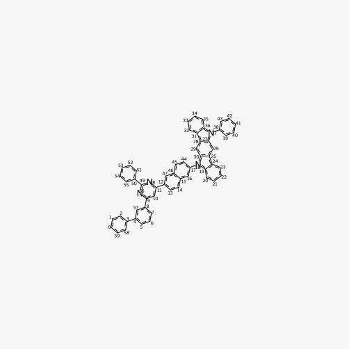 c1ccc(-c2cccc(-c3cc(-c4ccc5cc(-n6c7ccccc7c7cc8c(cc76)c6ccccc6n8-c6ccccc6)ccc5c4)nc(-c4ccccc4)n3)c2)cc1